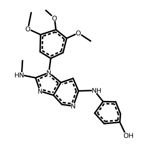 CNc1nc2cnc(Nc3ccc(O)cc3)cc2n1-c1cc(OC)c(OC)c(OC)c1